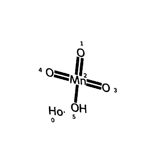 [Ho].[O]=[Mn](=[O])(=[O])[OH]